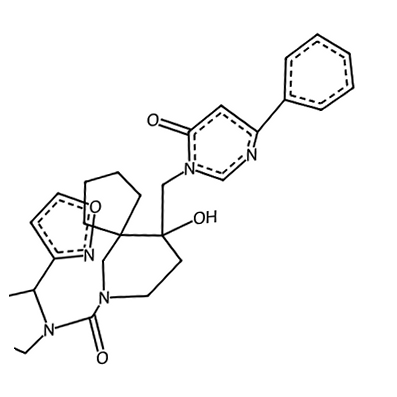 O=C(N1CCC(O)(Cn2cnc(-c3ccccc3)cc2=O)C2(CCCC2)C1)N1CCCC1c1ccon1